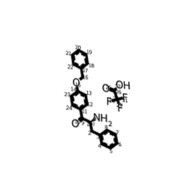 N[C@@H](Cc1ccccc1)C(=O)c1ccc(OCc2ccccc2)cc1.O=C(O)C(F)(F)F